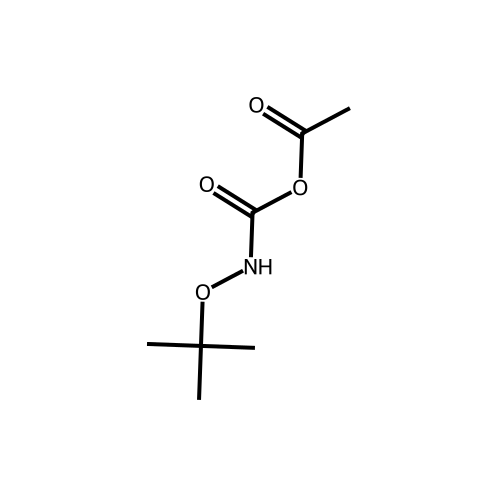 CC(=O)OC(=O)NOC(C)(C)C